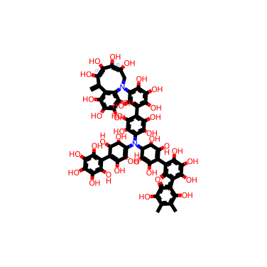 C=C1/C(O)=C(O)\C(O)=C(\O)CN(c2c(O)c(O)c(O)c(-c3c(O)c(O)c(N(C4=C(O)C(O)=C(c5c(O)c(O)c(O)c(O)c5O)C(O)C4O)C4C(O)=C(O)C(c5c(O)c(O)c(O)c6c5oc5c(O)c(C)c(C)c(O)c56)=C(O)C4O)c(O)c3O)c2O)c2c(O)c(O)c(O)c(O)c21